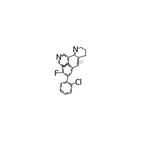 Fc1ccc(/C=C2/CCCN=C2c2cccnc2)cc1-c1ccccc1Cl